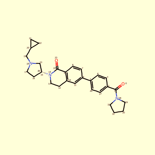 O=C(c1ccc(-c2ccc3c(c2)CCN([C@@H]2CCN(CC4CC4)C2)C3=O)cc1)N1CCCC1